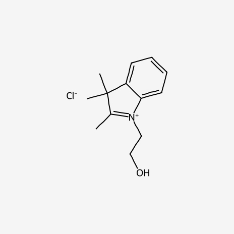 CC1=[N+](CCO)c2ccccc2C1(C)C.[Cl-]